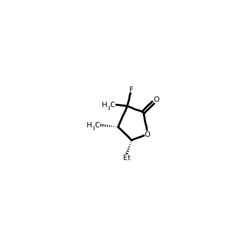 CC[C@H]1OC(=O)C(C)(F)[C@H]1C